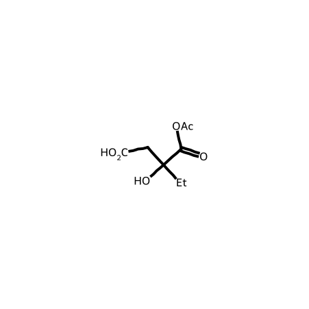 CCC(O)(CC(=O)O)C(=O)OC(C)=O